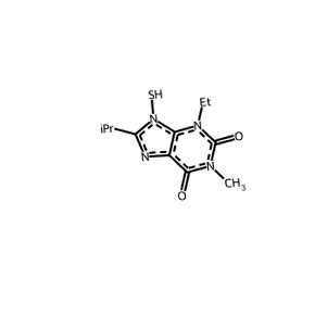 CCn1c(=O)n(C)c(=O)c2nc(C(C)C)n(S)c21